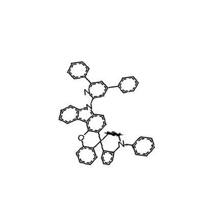 c1ccc(-c2cc(-c3ccccc3)nc(-n3c4ccccc4c4c5c(ccc43)C3(c4ccccc4O5)c4ccccc4N(c4ccccc4)c4ccccc43)c2)cc1